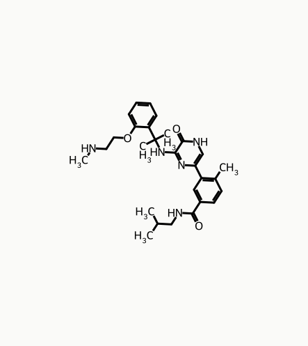 CNCCOc1ccccc1C(C)(C)Nc1nc(-c2cc(C(=O)NCC(C)C)ccc2C)c[nH]c1=O